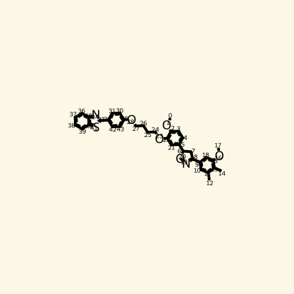 COc1ccc(C2CC(c3cc(C)c(C)c(OC)c3)=NO2)cc1OCCCCOc1ccc(-c2nc3ccccc3s2)cc1